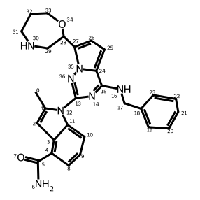 Cc1cc2c(C(N)=O)cccc2n1-c1nc(NCc2ccccc2)c2ccc(C3CNCCCO3)n2n1